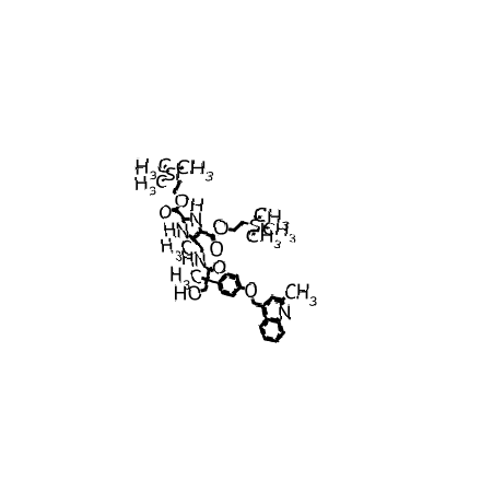 Cc1cc(COc2ccc(C(C)(CO)C(=O)NCC3(C)NC(C(=O)OCC[Si](C)(C)C)NC3C(=O)OCC[Si](C)(C)C)cc2)c2ccccc2n1